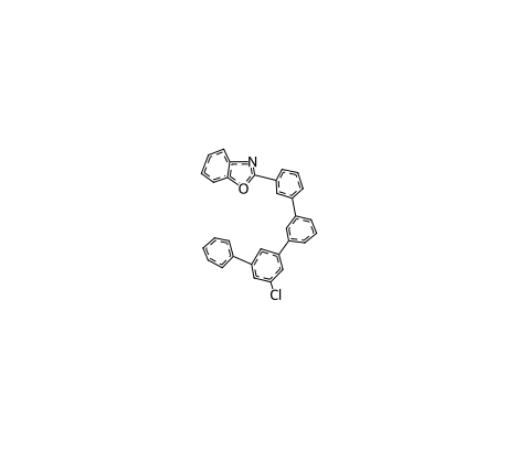 Clc1cc(-c2ccccc2)cc(-c2cccc(-c3cccc(-c4nc5ccccc5o4)c3)c2)c1